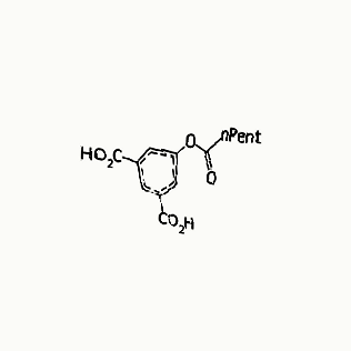 CCCCCC(=O)Oc1cc(C(=O)O)cc(C(=O)O)c1